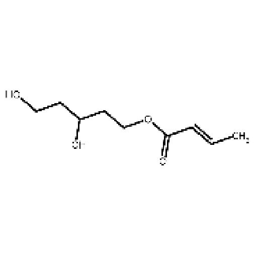 CC=CC(=O)OCCC(O)CCO